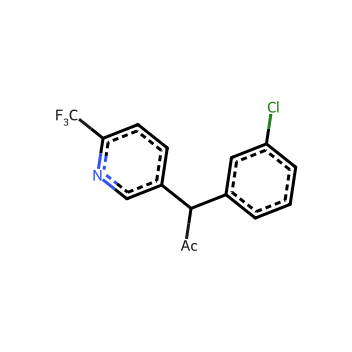 CC(=O)C(c1ccc(C(F)(F)F)nc1)c1cccc(Cl)c1